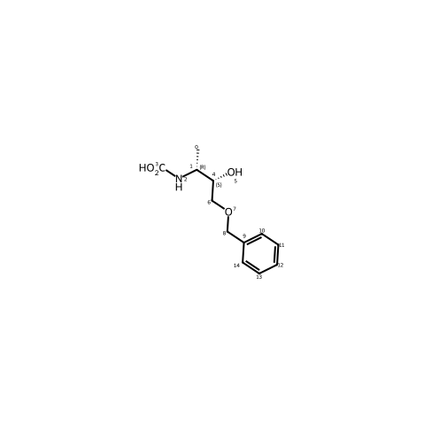 C[C@@H](NC(=O)O)[C@H](O)COCc1ccccc1